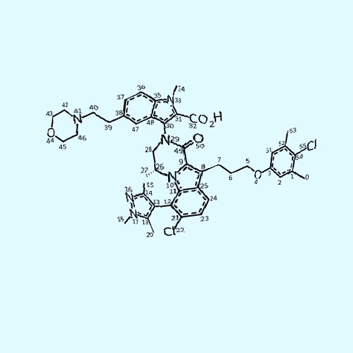 Cc1cc(OCCCc2c3n(c4c(-c5c(C)nn(C)c5C)c(Cl)ccc24)[C@H](C)CN(c2c(C(=O)O)n(C)c4ccc(CCN5CCOCC5)cc24)C3=O)cc(C)c1Cl